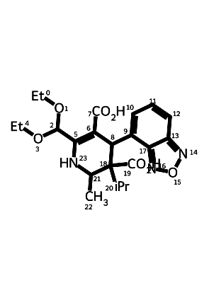 CCOC(OCC)C1=C(C(=O)O)C(c2cccc3nonc23)C(C(=O)O)(C(C)C)C(C)N1